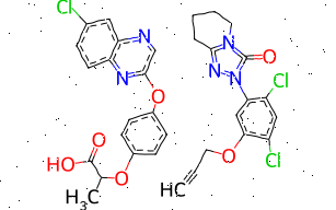 C#CCOc1cc(-n2nc3n(c2=O)CCCC3)c(Cl)cc1Cl.CC(Oc1ccc(Oc2cnc3cc(Cl)ccc3n2)cc1)C(=O)O